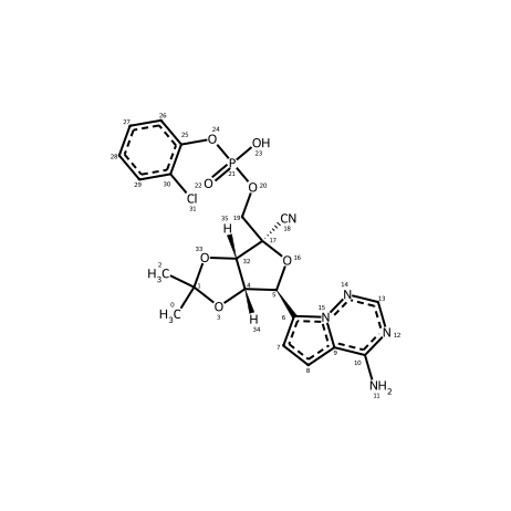 CC1(C)O[C@H]2[C@H](c3ccc4c(N)ncnn34)O[C@](C#N)(COP(=O)(O)Oc3ccccc3Cl)[C@H]2O1